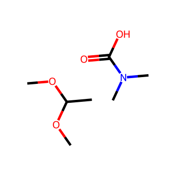 CN(C)C(=O)O.COC(C)OC